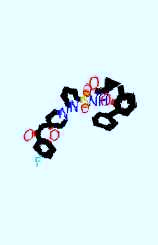 Cc1cccc(C2CCCCC2)c1OC1(C(=O)NS(=O)(=O)c2cccc(N3CCC4(CC3)CC(=O)c3cc(F)ccc3O4)n2)CC1